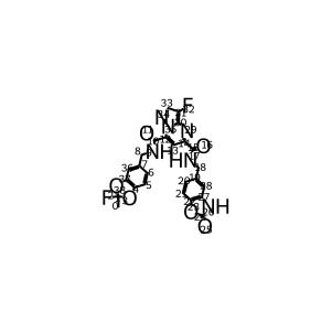 CC1(F)Oc2ccc(CNC(=O)c3cc(C(=O)NCc4ccc5oc(=O)[nH]c5c4)nc4c(F)cnn34)cc2O1